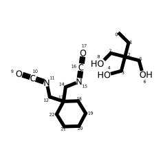 CCC(CO)(CO)CO.O=C=NCC1(CN=C=O)CCCCC1